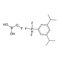 CC(C)c1cc(C(C)C)cc([PH](F)(F)F)c1.OB(O)OF